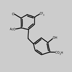 CC(=O)Oc1c(Cl)cc(C(F)(F)F)cc1Cc1ccc(C(=O)O)c(O)c1